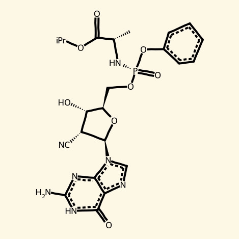 CC(C)OC(=O)[C@H](C)N[P@](=O)(OC[C@H]1O[C@@H](n2cnc3c(=O)[nH]c(N)nc32)[C@H](C#N)[C@@H]1O)Oc1ccccc1